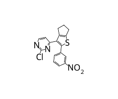 O=[N+]([O-])c1cccc(-c2sc3c(c2-c2ccnc(Cl)n2)CCC3)c1